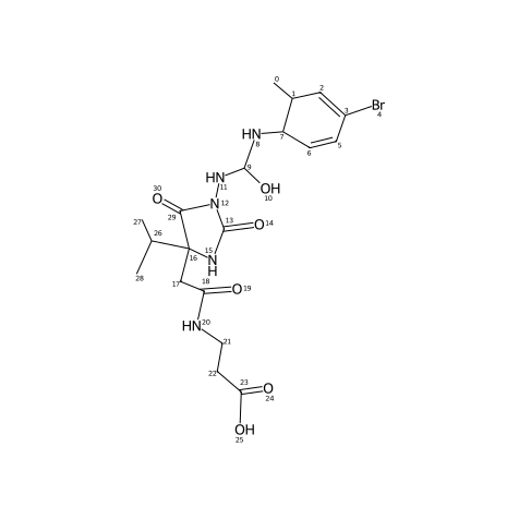 CC1C=C(Br)C=CC1NC(O)NN1C(=O)NC(CC(=O)NCCC(=O)O)(C(C)C)C1=O